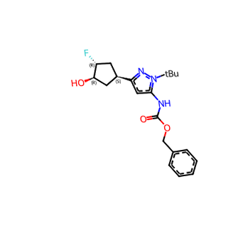 CC(C)(C)n1nc([C@H]2C[C@@H](O)[C@H](F)C2)cc1NC(=O)OCc1ccccc1